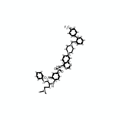 CN(C)CCC(CSc1ccccc1)Nc1ccc(S(=O)(=O)Nc2ncnc3cc(N4CCN(Cc5ccccc5-c5ccc(C(F)(F)F)cc5)CC4)ccc23)cc1[N+](=O)[O-]